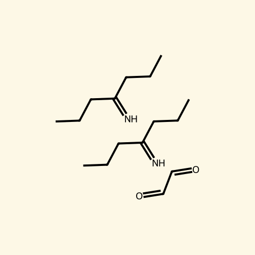 CCCC(=N)CCC.CCCC(=N)CCC.O=CC=O